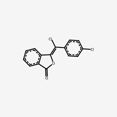 O=C1O/C(=C(/Cl)c2ccc(Cl)cc2)c2ccccc21